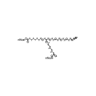 CCCCCCCCCOC(=O)CCCCCCCOCC(COCCOCCOCCOCCN=[N+]=[N-])OCCCCCCCC(=O)OCCCCCCCCC